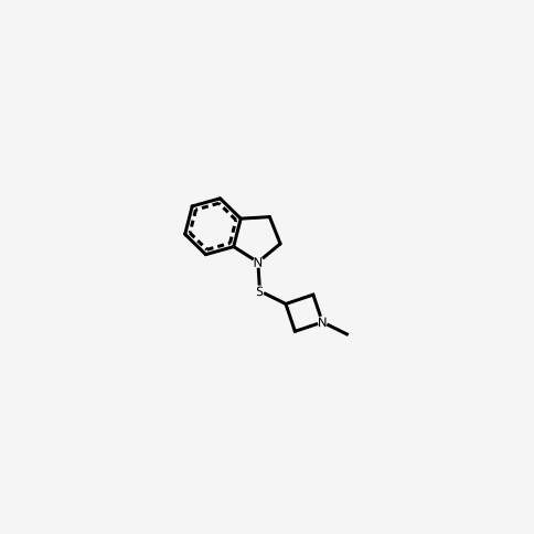 CN1CC(SN2CCc3ccccc32)C1